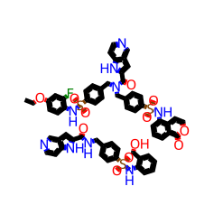 CCOc1ccc(NS(=O)(=O)c2ccc(CN(Cc3ccc(S(=O)(=O)Nc4cccc5c(=O)occc45)cc3)C(=O)c3cc4cnccc4[nH]3)cc2)c(F)c1.O=C(NCc1ccc(S(=O)(=O)Nc2ccccc2CO)cc1)c1cc2cnccc2[nH]1